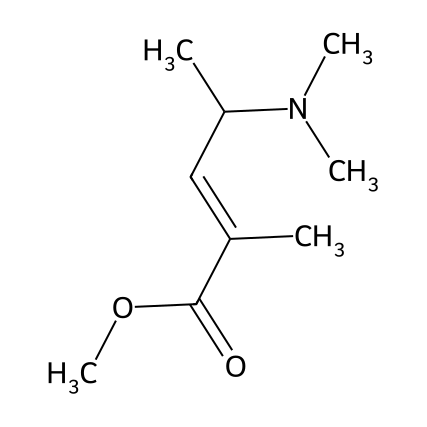 COC(=O)C(C)=CC(C)N(C)C